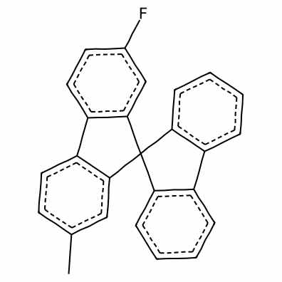 Cc1ccc2c(c1)C1(c3ccccc3-c3ccccc31)c1cc(F)ccc1-2